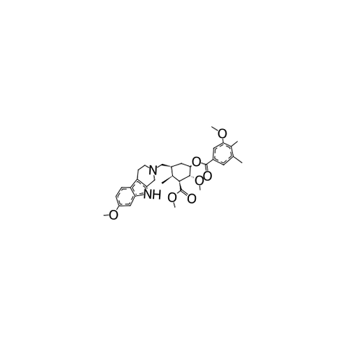 COC(=O)[C@H]1[C@@H](C)[C@@H](CN2CCc3c([nH]c4cc(OC)ccc34)C2)C[C@@H](OC(=O)c2cc(C)c(C)c(OC)c2)[C@@H]1OC